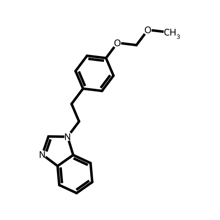 COCOc1ccc(CCn2cnc3ccccc32)cc1